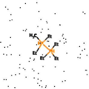 CC[PH](C)(CC)[PH](CC)(CC)CC